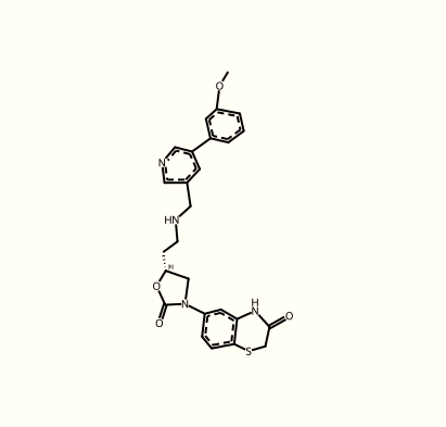 COc1cccc(-c2cncc(CNCC[C@@H]3CN(c4ccc5c(c4)NC(=O)CS5)C(=O)O3)c2)c1